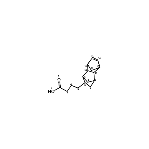 O=C(O)CCCC1CC2CC1C1C3C=CC(C3)C21